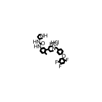 Cc1ccc(NC(=O)NC2CCNC2)cc1C1CCN(Cc2ccc(Oc3cc(F)c(F)cc3F)cc2)CC1.Cl.Cl